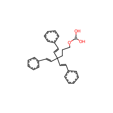 OB(O)OCCCC(C=Cc1ccccc1)(C=Cc1ccccc1)C=Cc1ccccc1